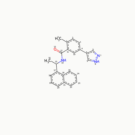 Cc1ccc(-c2cn[nH]c2)cc1C(=O)NC(C)c1cccc2ccccc12